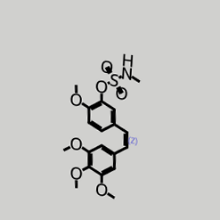 CNS(=O)(=O)Oc1cc(/C=C\c2cc(OC)c(OC)c(OC)c2)ccc1OC